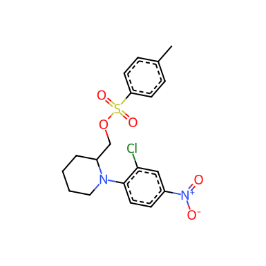 Cc1ccc(S(=O)(=O)OCC2CCCCN2c2ccc([N+](=O)[O-])cc2Cl)cc1